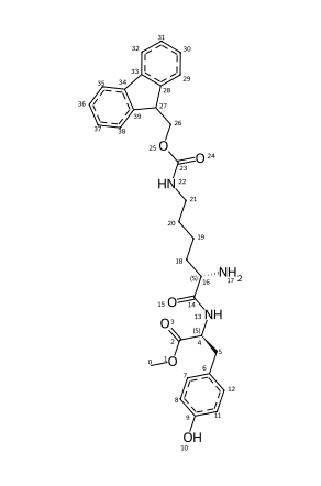 COC(=O)[C@H](Cc1ccc(O)cc1)NC(=O)[C@@H](N)CCCCNC(=O)OCC1c2ccccc2-c2ccccc21